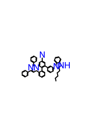 CCCCCC1Nc2ccccc2N1c1cccc(-c2cc(C#N)ccc2-c2ccccc2-c2cc(-c3ccccc3)nc(-c3ccccc3)n2)c1